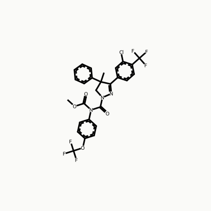 COC(=O)N(C(=O)N1CC(C)(c2ccccc2)C(c2ccc(C(F)(F)F)c(Cl)c2)=N1)c1ccc(OC(F)(F)F)cc1